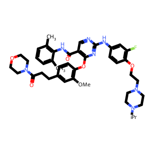 COc1cc(CCC(=O)N2CCOCC2)ccc1Oc1nc(Nc2ccc(OCCN3CCN(C(C)C)CC3)c(F)c2)ncc1C(=O)Nc1c(C)cccc1C